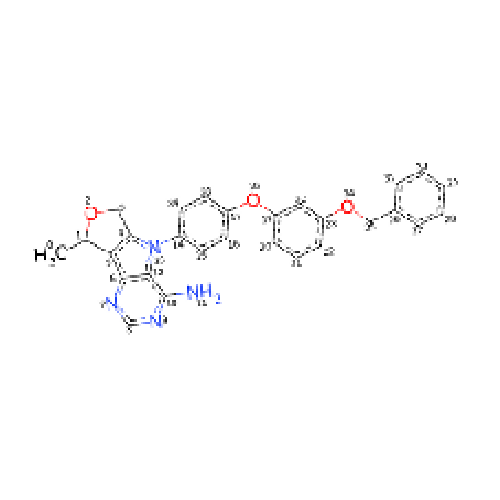 CC1OCc2c1c1ncnc(N)c1n2-c1ccc(Oc2cccc(OCc3ccccc3)c2)cc1